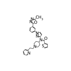 Cc1nnc(-c2cccc(-n3ccc(N(C(=O)c4cccs4)C4CCN(CCc5ccccn5)CC4)n3)c2)o1